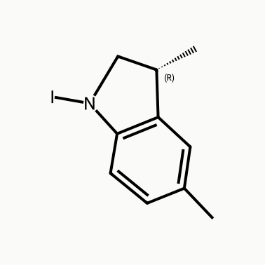 Cc1ccc2c(c1)[C@@H](C)CN2I